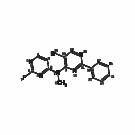 CN(c1ccnc(F)n1)c1nc(-c2ccccc2)ncc1Br